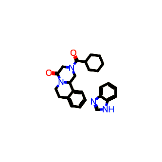 O=C(C1CCCCC1)N1CC(=O)N2CCc3ccccc3C2C1.c1ccc2[nH]cnc2c1